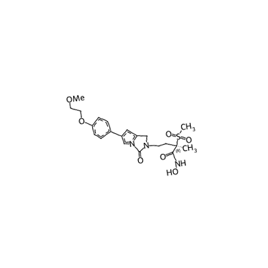 COCCOc1ccc(-c2cc3n(c2)C(=O)N(CC[C@](C)(C(=O)NO)S(C)(=O)=O)C3)cc1